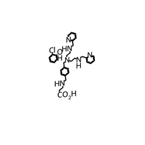 O=C(O)CCNCc1ccc(CN(CCNCc2ccccn2)CCNCc2ccccn2)cc1.Oc1ccccc1Cl